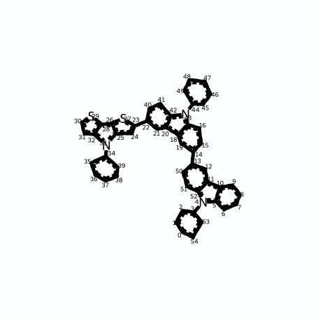 c1ccc(-n2c3ccccc3c3cc(-c4ccc5c(c4)c4cc(-c6cc7c(s6)c6sccc6n7-c6ccccc6)ccc4n5-c4ccccc4)ccc32)cc1